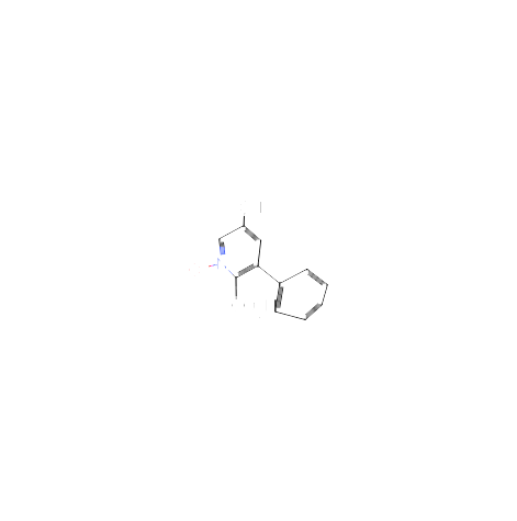 Cc1cc(-c2ccccc2)c(C(=O)O)[n+]([O-])c1